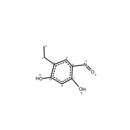 CCc1cc(N=O)c(O)cc1O